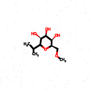 COC[C@H]1OC(C(C)C)[C@H](O)[C@@H](O)[C@@H]1O